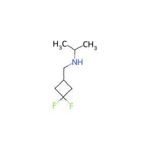 CC(C)NCC1CC(F)(F)C1